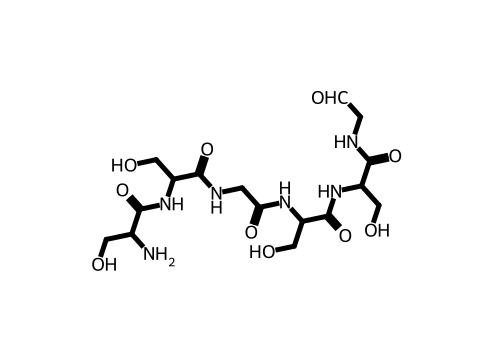 NC(CO)C(=O)NC(CO)C(=O)NCC(=O)NC(CO)C(=O)NC(CO)C(=O)NCC=O